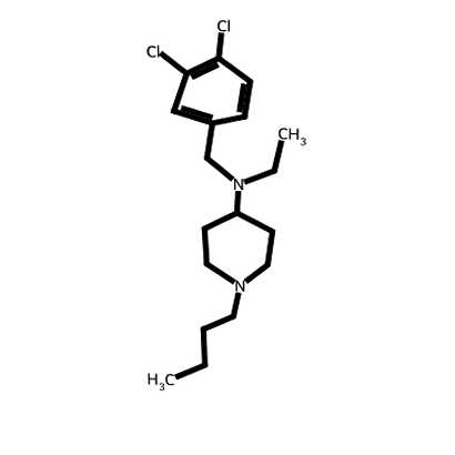 CCCCN1CCC(N(CC)Cc2ccc(Cl)c(Cl)c2)CC1